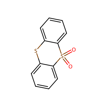 O=S1(=O)c2ccccc2Sc2ccccc21